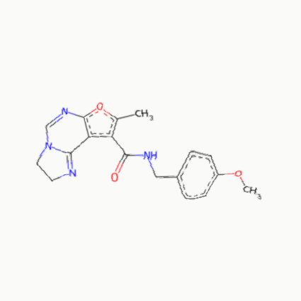 COc1ccc(CNC(=O)c2c(C)oc3c2C2=NCCN2C=N3)cc1